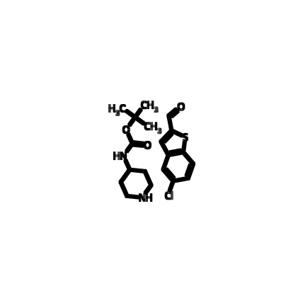 CC(C)(C)OC(=O)NC1CCNCC1.O=Cc1cc2cc(Cl)ccc2s1